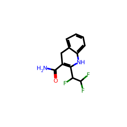 NC(=O)C1=C(C(F)C(F)F)Nc2ccccc2C1